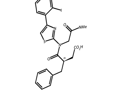 CNC(=O)CN(C(=O)[C@@H](CC(=O)O)Cc1ccccc1)c1nc(-c2ccccc2I)cs1